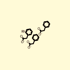 O=C([O-])Cc1ccccc1.O=C([O-])Cc1ccccc1.O=C([O-])Cc1ccccc1.[Rh+3]